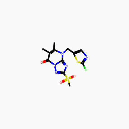 Cc1c(C)n(Cc2cnc(Cl)s2)c2nc(S(C)(=O)=O)nn2c1=O